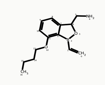 C=CB1OC(CN)c2cccc(OCCCC)c21